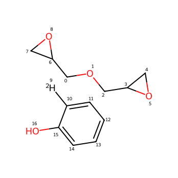 C(OCC1CO1)C1CO1.[2H]c1ccccc1O